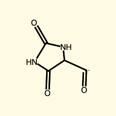 O=[C]C1NC(=O)NC1=O